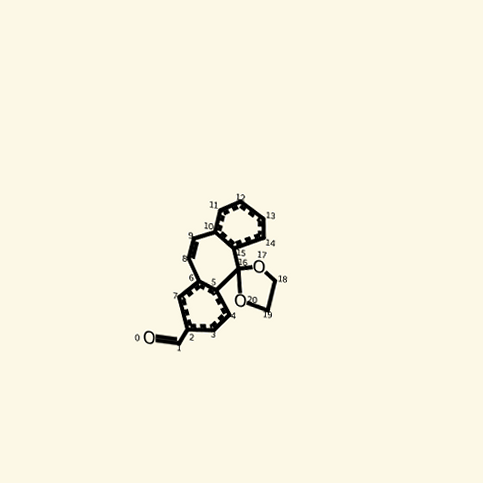 O=Cc1ccc2c(c1)C=Cc1ccccc1C21OCCO1